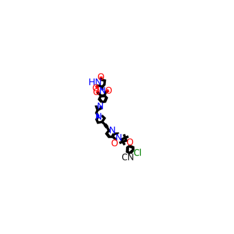 CC1(C)[C@H](Oc2ccc(C#N)c(Cl)c2)C(C)(C)[C@H]1N1Cc2nc(C#CC3CCN(CC4CN(c5ccc6c(c5)C(=O)N(C5CCC(=O)NC5=O)C6=O)C4)CC3)ccc2C1=O